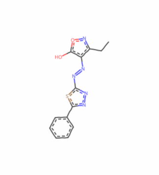 CCc1noc(O)c1N=Nc1nnc(-c2ccccc2)s1